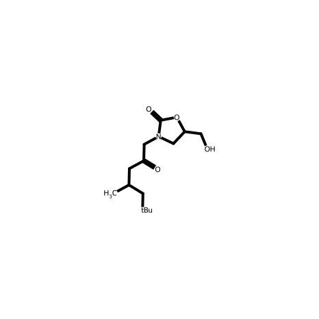 CC(CC(=O)CN1CC(CO)OC1=O)CC(C)(C)C